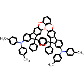 Cc1ccc(N(c2ccc(C)cc2)c2ccc3c(c2)C(c2ccccc2)(c2ccccc2)c2cc4c(cc2-3)Oc2cccc3c2B4c2cc4c(cc2O3)-c2ccc(N(c3ccc(C)cc3)c3ccc(C)cc3)cc2C4(c2ccccc2)c2ccccc2)cc1